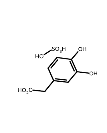 O=C(O)Cc1ccc(O)c(O)c1.O=S(=O)(O)O